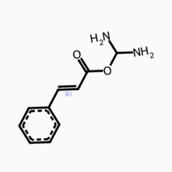 NC(N)OC(=O)/C=C/c1ccccc1